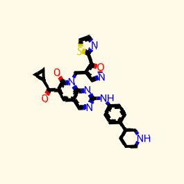 O=C(c1cc2cnc(Nc3ccc(C4CCCNC4)cc3)nc2n(Cc2cnoc2-c2nccs2)c1=O)C1CC1